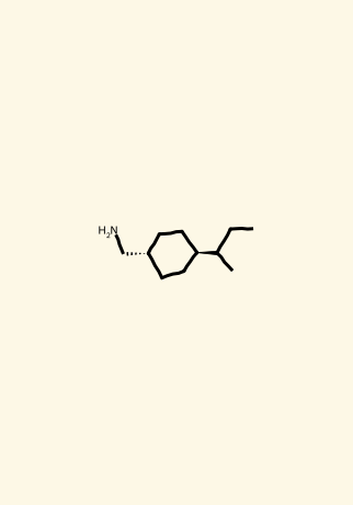 CCC(C)[C@H]1CC[C@H](CN)CC1